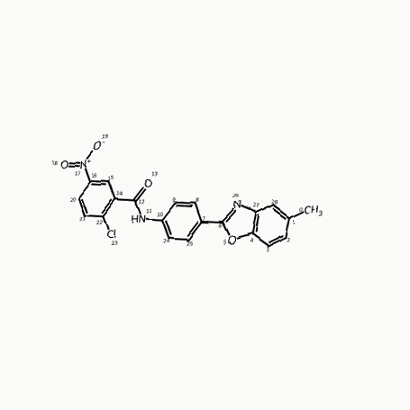 Cc1ccc2oc(-c3ccc(NC(=O)c4cc([N+](=O)[O-])ccc4Cl)cc3)nc2c1